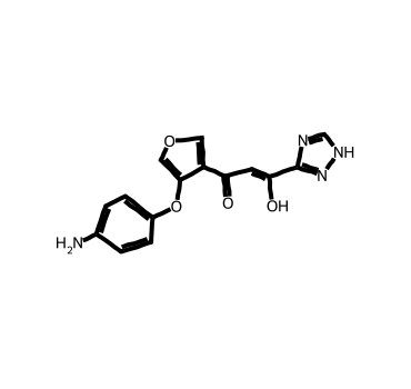 Nc1ccc(Oc2cocc2C(=O)C=C(O)c2nc[nH]n2)cc1